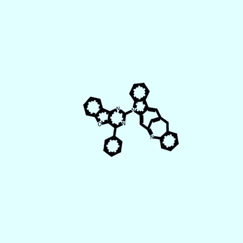 C1=C2C=c3c(n(-c4nc(-c5ccccc5)c5oc6ccccc6c5n4)c4ccccc34)=CC1=Nc1ccccc1C2